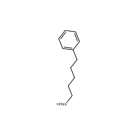 CCCCC[CH]CCCCCc1ccccc1